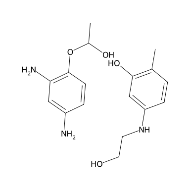 CC(O)Oc1ccc(N)cc1N.Cc1ccc(NCCO)cc1O